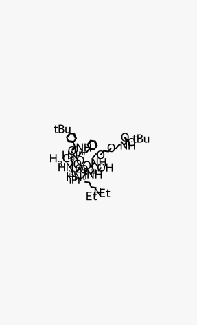 CCN(CC)CCCC[C@H](NC(=O)[C@H](CC(C)C)NC(=O)[C@H](C)NC(=O)[C@H](Cc1ccccc1)NC(=O)c1ccc(C(C)(C)C)cc1)C(=O)N[C@@H](CO)C(=O)NCCOCCOCCNC(=O)OC(C)(C)C